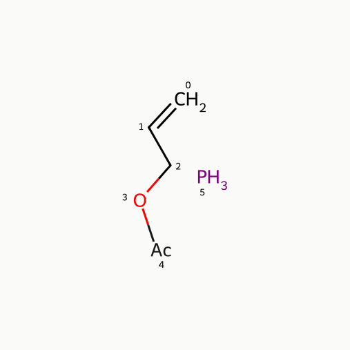 C=CCOC(C)=O.P